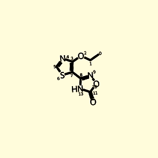 CCOc1ncsc1-c1noc(=O)[nH]1